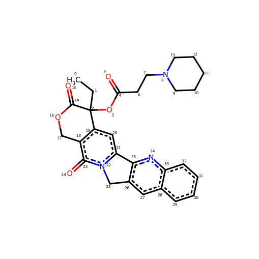 CCC1(OC(=O)CCN2CCCCC2)C(=O)OCc2c1cc1n(c2=O)Cc2cc3ccccc3nc2-1